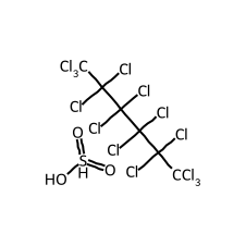 ClC(Cl)(Cl)C(Cl)(Cl)C(Cl)(Cl)C(Cl)(Cl)C(Cl)(Cl)C(Cl)(Cl)Cl.O=[SH](=O)O